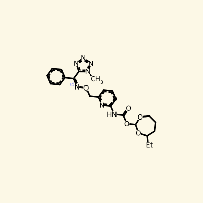 CCC1CCCOC(OC(=O)Nc2cccc(CO/N=C(/c3ccccc3)c3nnnn3C)n2)O1